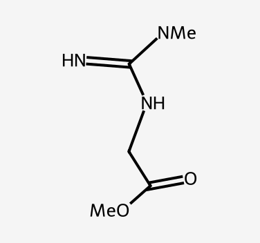 CNC(=N)NCC(=O)OC